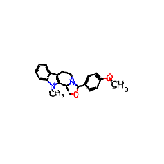 COc1ccc(C2OCC3c4c(c5ccccc5n4C)CCN32)cc1